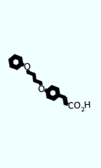 O=C(O)/C=C/c1ccc(OCCCCOc2ccccc2)cc1